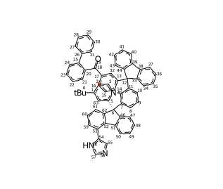 CC(C)(C)c1ccnc([C@]2(c3cccc(C4(c5cccc(C(=O)c6ccccc6-c6ccccc6)c5)c5ccccc5-c5ccccc54)c3)c3ccccc3-c3c(-c4cnc[nH]4)cccc32)c1